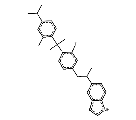 Cc1cc(C(C)C)ccc1C(C)(C)c1ccc(CC(C)c2ccc3[nH]ccc3c2)cc1F